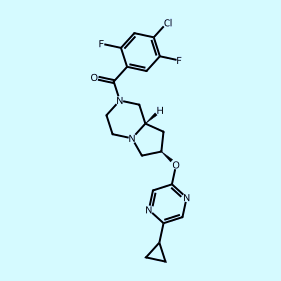 O=C(c1cc(F)c(Cl)cc1F)N1CCN2C[C@H](Oc3cnc(C4CC4)cn3)C[C@H]2C1